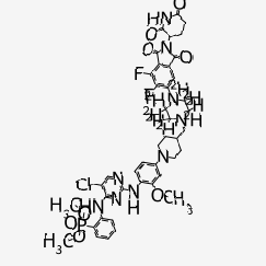 [2H]C1([2H])N(CC2CCN(c3ccc(Nc4ncc(Cl)c(Nc5ccccc5P(=O)(OC)OC)n4)c(OC)c3)CC2)C([2H])([2H])C([2H])([2H])N(c2cc3c(c(F)c2F)C(=O)N(C2CCC(=O)NC2=O)C3=O)C1([2H])[2H]